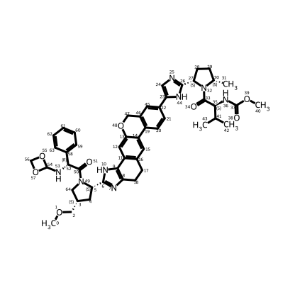 COC[C@H]1C[C@@H](c2nc3c([nH]2)-c2cc4c(cc2CC3)-c2ccc(-c3cnc([C@@H]5CC[C@H](C)N5C(=O)[C@@H](NC(=O)OC)C(C)C)[nH]3)cc2CO4)N(C(=O)[C@H](NC2OCO2)c2ccccc2)C1